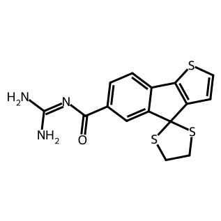 NC(N)=NC(=O)c1ccc2c(c1)C1(SCCS1)c1ccsc1-2